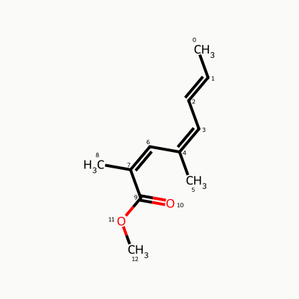 CC=CC=C(C)C=C(C)C(=O)OC